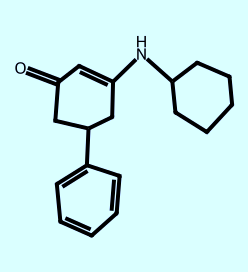 O=C1C=C(NC2CCCCC2)CC(c2ccccc2)C1